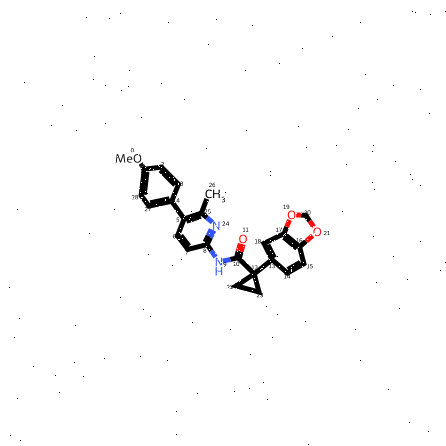 COc1ccc(-c2ccc(NC(=O)C3(c4ccc5c(c4)OCO5)CC3)nc2C)cc1